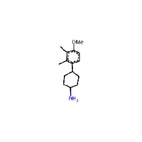 COc1ccc(C2CCC(N)CC2)c(C)c1C